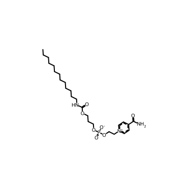 CCCCCCCCCCCCCNC(=O)OCCCOP(=O)([O-])OCC[n+]1ccc(C(N)=O)cc1